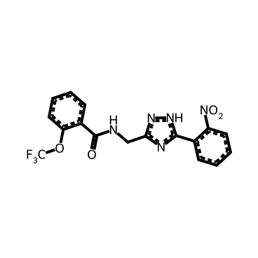 O=C(NCc1n[nH]c(-c2ccccc2[N+](=O)[O-])n1)c1ccccc1OC(F)(F)F